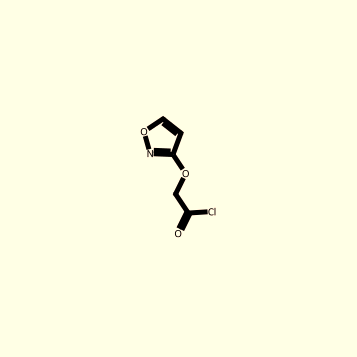 O=C(Cl)COc1ccon1